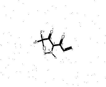 C=CC(=O)C(C(=O)C(F)(F)Cl)N(C)C